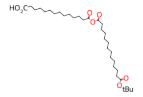 CC(C)(C)OC(=O)CCCCCCCCCCCCC(=O)OC(=O)CCCCCCCCCCCCC(=O)O